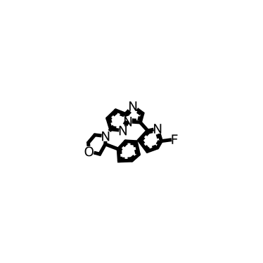 Fc1cccc(-c2cnc3ccc(N4CCOCC4c4ccccc4)nn23)n1